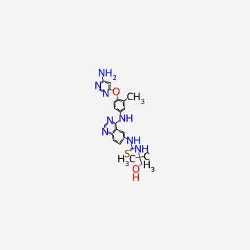 Cc1cc(Nc2ncnc3ccc(NC(=S)NC(C)(C)CO)cc23)ccc1Oc1cc(N)ncn1